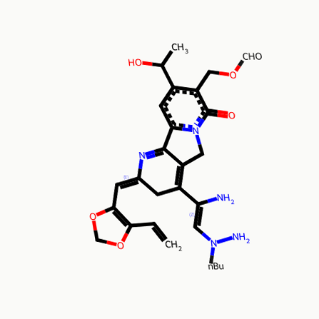 C=CC1=C(/C=C2\CC(/C(N)=C/N(N)CCCC)=C3Cn4c(cc(C(C)O)c(COC=O)c4=O)C3=N2)OCO1